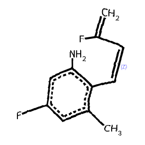 C=C(F)/C=C\c1c(C)cc(F)cc1N